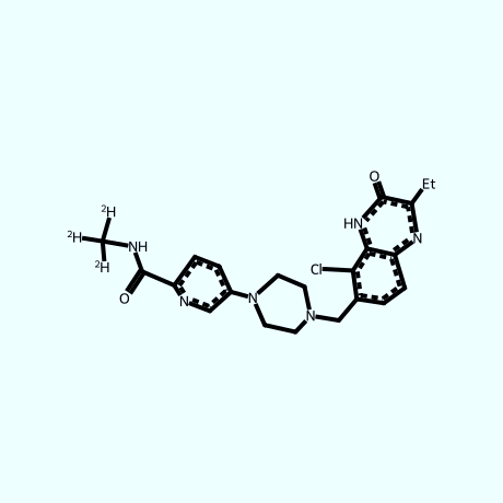 [2H]C([2H])([2H])NC(=O)c1ccc(N2CCN(Cc3ccc4nc(CC)c(=O)[nH]c4c3Cl)CC2)cn1